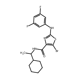 CC(NC(=O)c1nc(Nc2cc(F)cc(F)c2)sc1Br)C1CCCCC1